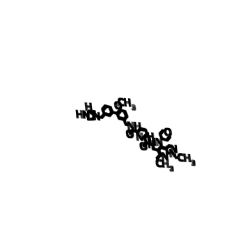 CCc1nc2c(cnn2CC)c(NC2CCOCC2)c1CNC(=O)c1cccc(C(=O)NCc2ccc(OC)c(-c3cccc(CN4C[C@H]5CC4CN5)c3)c2)n1